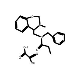 CCC(=O)N(Cc1ccccc1)CC1c2ccccc2CCN1C.O=C(O)C(=O)O